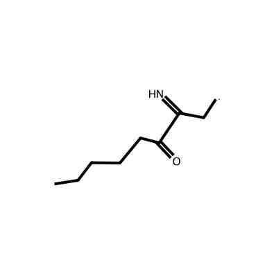 [CH2]CC(=N)C(=O)CCCCC